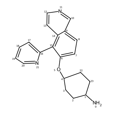 NC1CCC(Oc2ccc3cnccc3c2-c2ccccn2)CC1